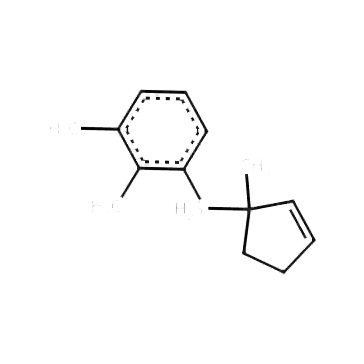 Cc1cccc([SiH2]C2(C)C=CCC2)c1C